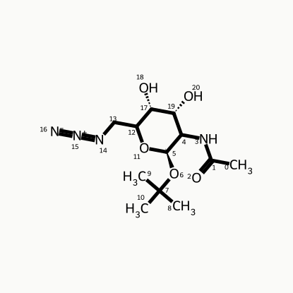 CC(=O)NC1[C@@H](OC(C)(C)C)OC(CN=[N+]=[N-])[C@H](O)[C@@H]1O